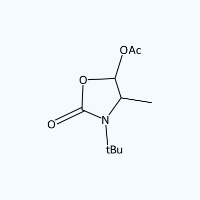 CC(=O)OC1OC(=O)N(C(C)(C)C)C1C